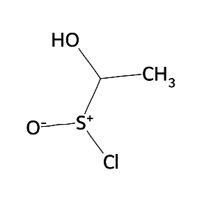 CC(O)[S+]([O-])Cl